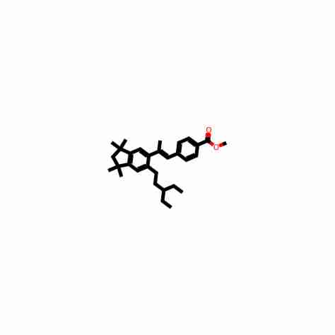 CCC(CC)CCc1cc2c(cc1C(C)=Cc1ccc(C(=O)OC)cc1)C(C)(C)CC2(C)C